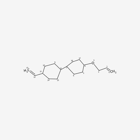 C=CCOC1CCC(C2CCC(C=C)CC2)CC1